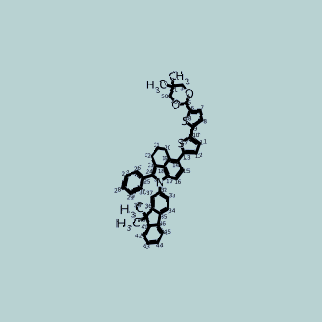 CC1(C)COC(c2ccc(-c3ccc(-c4ccc5c6c4CCCc6c(-c4ccccc4)n5-c4ccc5c(c4)C(C)(C)c4ccccc4-5)s3)s2)OC1